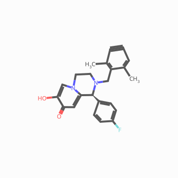 Cc1c#ccc(C)c1CN1CCn2cc(O)c(=O)cc2[C@@H]1c1ccc(F)cc1